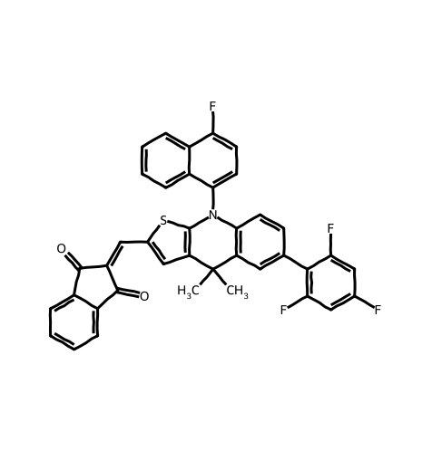 CC1(C)c2cc(-c3c(F)cc(F)cc3F)ccc2N(c2ccc(F)c3ccccc23)c2sc(C=C3C(=O)c4ccccc4C3=O)cc21